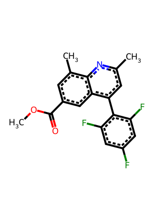 COC(=O)c1cc(C)c2nc(C)cc(-c3c(F)cc(F)cc3F)c2c1